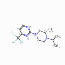 CC(C)N1CCN(c2nccc(C(F)(F)F)n2)C[C@@H]1C